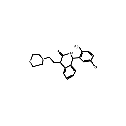 Nc1ccc(Cl)cc1C1NC(=O)C(CCN2CCSCC2)c2ccccc21